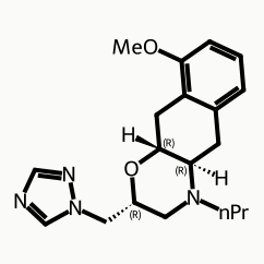 CCCN1C[C@H](Cn2cncn2)O[C@@H]2Cc3c(cccc3OC)C[C@H]21